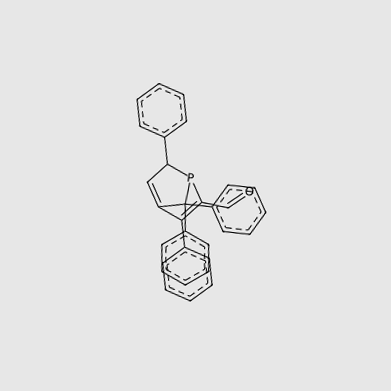 O=CC1=C(c2ccccc2)C2=CC(c3ccccc3)P1C2(c1ccccc1)c1ccccc1